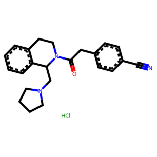 Cl.N#Cc1ccc(CC(=O)N2CCc3ccccc3C2CN2CCCC2)cc1